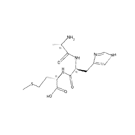 CSCC[C@H](NC(=O)[C@H](Cc1c[nH]cn1)NC(=O)[C@H](C)N)C(=O)O